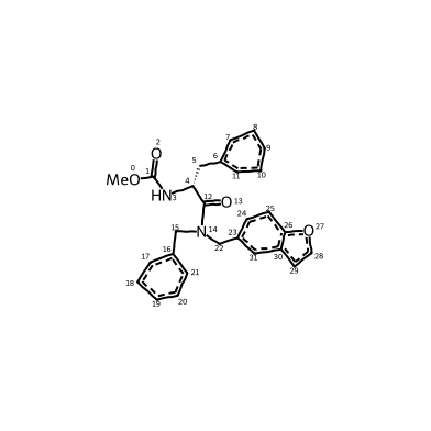 COC(=O)N[C@H](Cc1ccccc1)C(=O)N(Cc1ccccc1)Cc1ccc2occc2c1